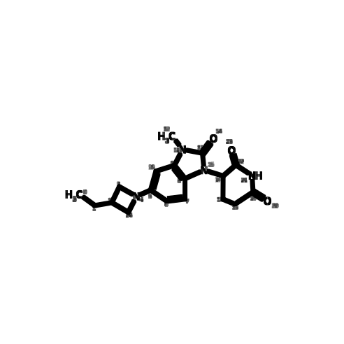 CCC1CN(c2ccc3c(c2)n(C)c(=O)n3C2CCC(=O)NC2=O)C1